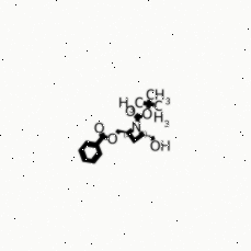 CC(C)(C)OC(=O)N1[C@H](CO)C[C@H]1COC(=O)c1ccccc1